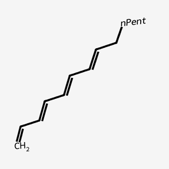 [CH2]CCCCCC=CC=CC=CC=C